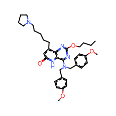 CCCCOc1nc(N(Cc2ccc(OC)cc2)Cc2ccc(OC)cc2)c2[nH]c(=O)cc(CCCCCN3CCCC3)c2n1